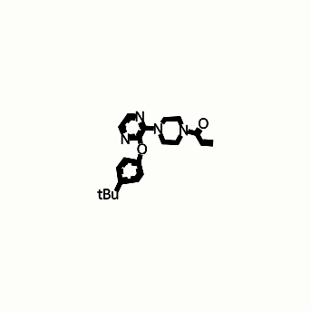 C=CC(=O)N1CCN(c2nccnc2Oc2ccc(C(C)(C)C)cc2)CC1